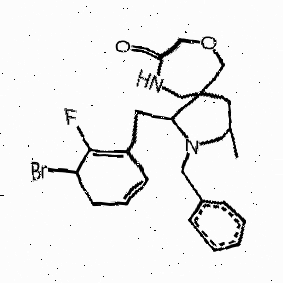 CC1CC2(COCC(=O)N2)C(CC2=C(F)C(Br)CC=C2)N1Cc1ccccc1